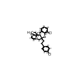 CCCCC(CCc1ccc(Cl)cc1)(Cn1ccnc1)Sc1c(Cl)cccc1Cl